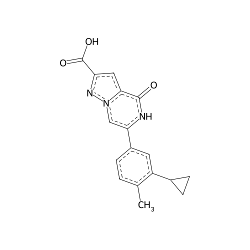 Cc1ccc(-c2cn3nc(C(=O)O)cc3c(=O)[nH]2)cc1C1CC1